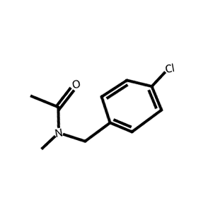 CC(=O)N(C)Cc1ccc(Cl)cc1